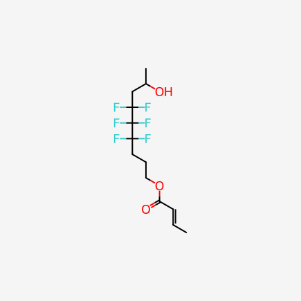 CC=CC(=O)OCCCC(F)(F)C(F)(F)C(F)(F)CC(C)O